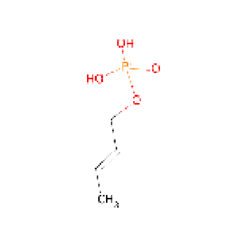 C/C=C/COP(=O)(O)O